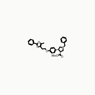 COC(=O)[C@@H]1CN(Cc2ccccc2)C[C@@H]1c1ccc(OCCc2nc(-c3ccccc3)oc2C)cc1